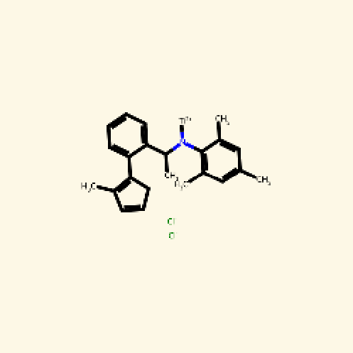 CC1=C(c2ccccc2C(C)[N]([Ti+2])c2c(C)cc(C)cc2C)CC=C1.[Cl-].[Cl-]